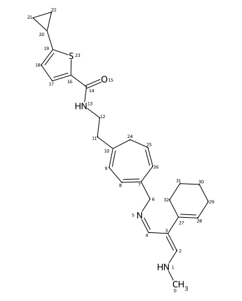 CN/C=C(\C=N/CC1=CC=C(CCNC(=O)c2ccc(C3CC3)s2)CC=C1)C1=CCCCC1